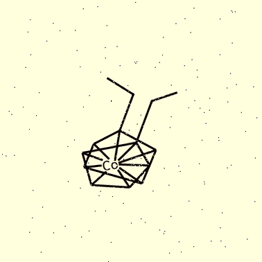 CC[C]12[CH]3[CH]4[CH]5[CH]1[Co]45321678[CH]2[CH]1[CH]6[C]7(CC)[CH]28